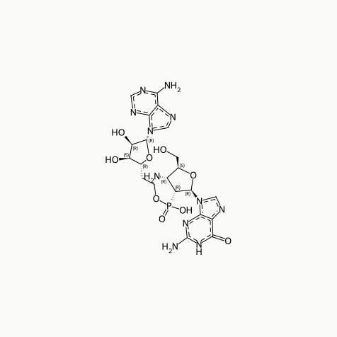 Nc1nc2c(ncn2[C@@H]2O[C@H](CO)[C@@H](N)[C@H]2P(=O)(O)OCC[C@H]2O[C@@H](n3cnc4c(N)ncnc43)[C@H](O)[C@@H]2O)c(=O)[nH]1